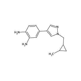 CC1CC1Cn1cc(-c2ccc(N)c(N)c2)cn1